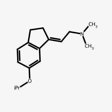 CC(C)Oc1ccc2c(c1)/C(=C/CN(C)C)CC2